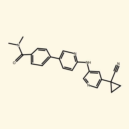 CN(C)C(=O)c1ccc(-c2ccc(Nc3cncc(C4(C#N)CC4)c3)nc2)cc1